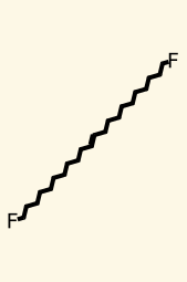 FCCCCCCCCCCC=CCCCCCCCCCCF